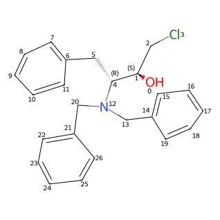 O[C@H](CCl)[C@@H](Cc1ccccc1)N(Cc1ccccc1)Cc1ccccc1